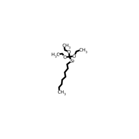 CCCCCCCC[Si]C(OCC)(OCC)OCC